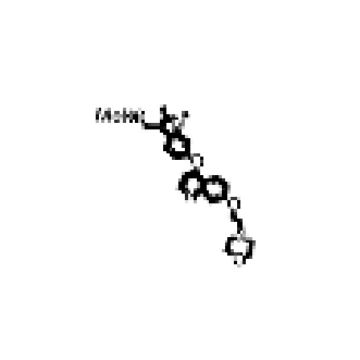 CNOCc1c(C)n(C)c2cc(Oc3ccnc4cc(OCCN5CCOCC5)ccc34)ccc12